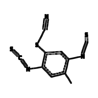 Cc1cc(N=C=S)c(SC#N)cc1N=C=S